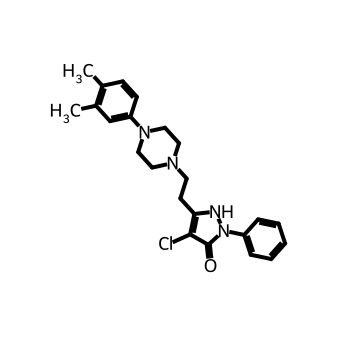 Cc1ccc(N2CCN(CCc3[nH]n(-c4ccccc4)c(=O)c3Cl)CC2)cc1C